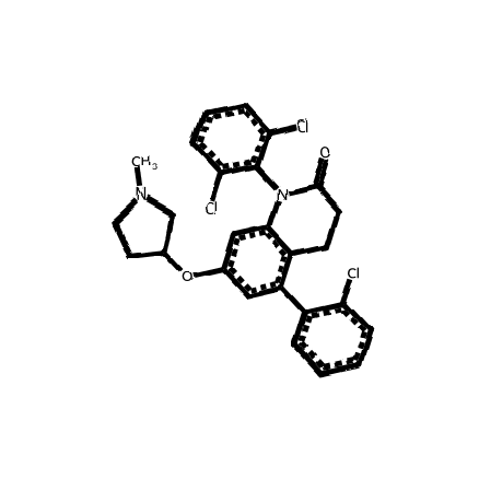 CN1CCC(Oc2cc(-c3ccccc3Cl)c3c(c2)N(c2c(Cl)cccc2Cl)C(=O)CC3)C1